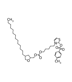 CCCCCCCCCCCCCCC1COC(COC(=O)OCCCCCN2C=CSC2OS(=O)(=O)c2ccc(C)cc2)C1